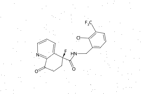 O=C1CC[C@@](F)(C(=O)NCc2cccc(C(F)(F)F)c2Cl)c2cccnc21